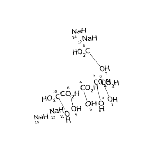 O=C(O)O.O=C(O)O.O=C(O)O.O=C(O)O.O=C(O)O.O=C(O)O.[NaH].[NaH].[NaH].[NaH]